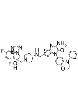 Nc1nc2sc(CNC3CCN(CC(O)(Cn4ncnn4)c4ccc(F)cc4F)CC3)cc2n(-c2ccc3c(c2)N(c2ccccc2)CCO3)c1=O